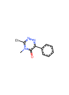 CCc1nnc(-c2ccccc2)c(=O)n1C